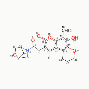 Cc1c(CC(=O)N2CC3CC2CO3)c(=O)oc2c(C=O)c(O)c3c(c12)CCCO3